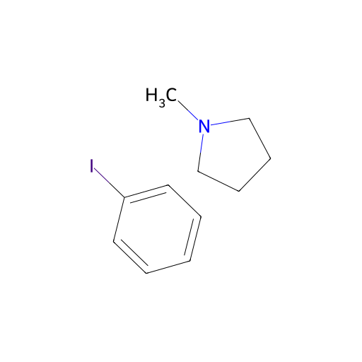 CN1CCCC1.Ic1ccccc1